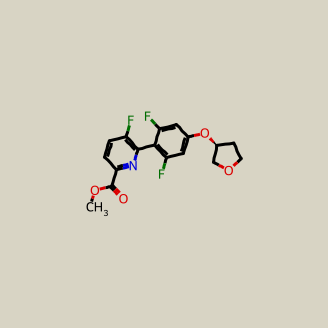 COC(=O)c1ccc(F)c(-c2c(F)cc(O[C@H]3CCOC3)cc2F)n1